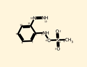 CS(=O)(=O)ONc1ccccc1N=N